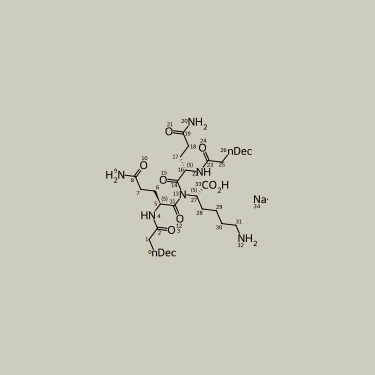 CCCCCCCCCCCC(=O)N[C@@H](CCC(N)=O)C(=O)N(C(=O)[C@H](CCC(N)=O)NC(=O)CCCCCCCCCCC)[C@@H](CCCCN)C(=O)O.[Na]